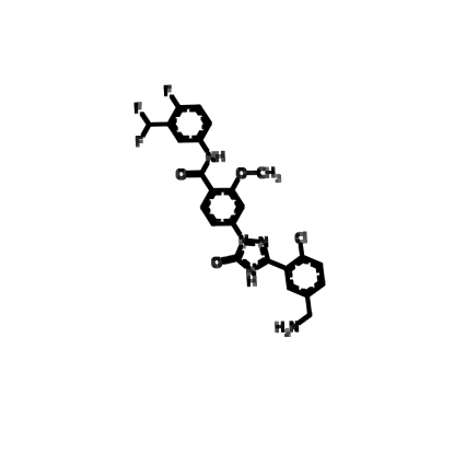 COc1cc(-n2nc(-c3cc(CN)ccc3Cl)[nH]c2=O)ccc1C(=O)Nc1ccc(F)c(C(F)F)c1